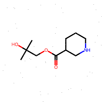 CC(C)(O)COC(=O)C1CCCNC1